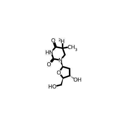 [2H]C1(C)CN([C@H]2C[C@H](O)[C@@H](CO)O2)C(=O)NC1=O